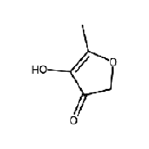 CC1=C(O)C(=O)CO1